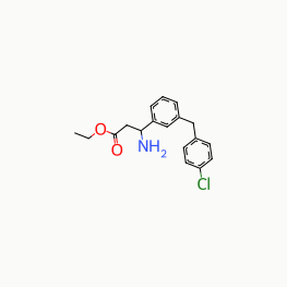 CCOC(=O)CC(N)c1cccc(Cc2ccc(Cl)cc2)c1